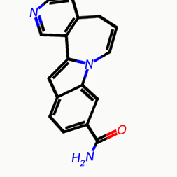 NC(=O)c1ccc2cc3n(c2c1)C=CCc1ccncc1-3